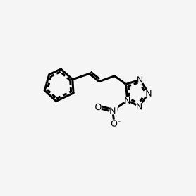 O=[N+]([O-])n1nnnc1CC=Cc1ccccc1